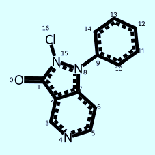 O=c1c2cnccc2n(-c2ccccc2)n1Cl